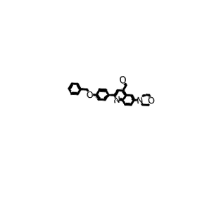 O=Cc1cc(-c2ccc(OCc3ccccc3)cc2)nc2ccc(N3CCOCC3)cc12